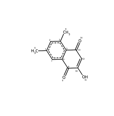 Cc1cc(C)c2c(c1)C(=O)C(O)=CC2=O